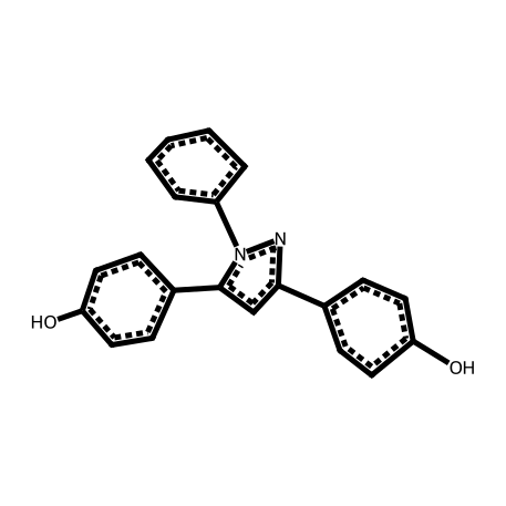 Oc1ccc(-c2cc(-c3ccc(O)cc3)n(-c3ccccc3)n2)cc1